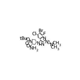 CN(C)C1CN(c2nc3c(F)c(Br)c(Cl)cc3c3c2ncn3[C@H]2CCN(C(=O)OC(C)(C)C)[C@H](C(N)=O)C2)C1